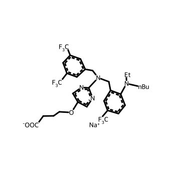 CCCCN(CC)c1ccc(C(F)(F)F)cc1CN(Cc1cc(C(F)(F)F)cc(C(F)(F)F)c1)c1ncc(OCCCC(=O)[O-])cn1.[Na+]